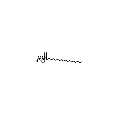 C=CC(C)(C)OC(=O)NCCCCCCCCCCCCCCCCCC